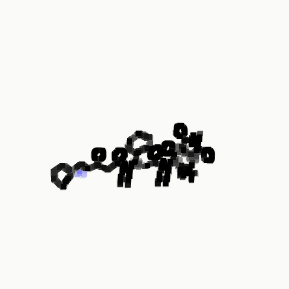 CC(C)[C@H](NC(=O)C[C@H](NC(=O)CC(=O)/C=C/c1ccccc1)c1ccccc1)C(=O)[C@@H]1C(=O)N(C)C(=O)[C@H]1C